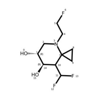 O[C@@H]1CN(CCF)C2(CC2)C(C(F)F)[C@H]1O